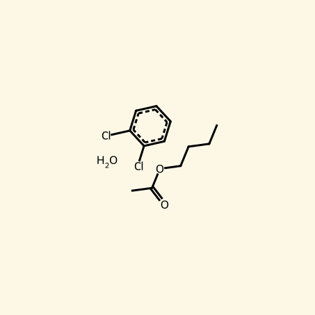 CCCCOC(C)=O.Clc1ccccc1Cl.O